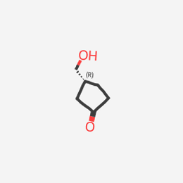 O=C1CC[C@@H](CO)C1